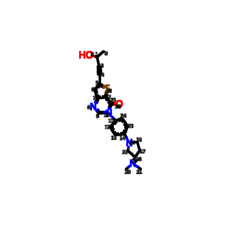 CC(O)C#Cc1cc2ncn(-c3ccc(N4CC[C@@H](N(C)C)C4)cc3)c(=O)c2s1